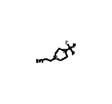 OCCN1CCN(C(F)(F)F)CC1